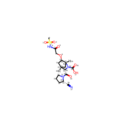 CS(=O)(=O)NC(=O)CO[C@@H]1C[C@@H]2C[C@H]1N(C(=O)O)[C@@H]2C(=O)N1CCC[C@H]1C#N